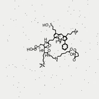 CN(CCCCCC(=O)ON1C(=O)CCC1=O)CCNC(=O)C(CCCC[N+](C)(C)C)NC(=O)C(CSOOO)NC(=O)CCC1=[N+]2C(=Cc3c(CCC[N+](C)(C)C)cc(-c4ccccc4)n3[B-]2(F)F)C(CCCS(=O)(=O)O)=C1